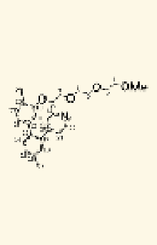 COCCOCCOCCOc1cc(-c2ccc(C)cc2-c2ccncc2)ccc1C